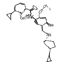 COC1=CC(=N)/C(=C\N[C@H]2CC[C@H](C3CC3)CC2)C=C1NC(=O)c1cccc(C2CC2)[n+]1O